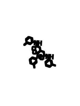 Cc1cccc(NC(=O)CC(CC(=O)Nc2cccc(C)c2)C(=O)Nc2cccc(C)c2)c1